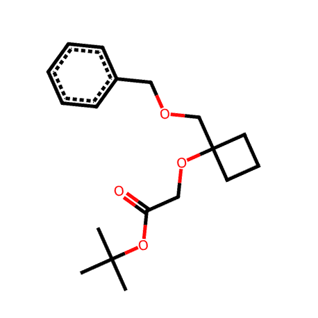 CC(C)(C)OC(=O)COC1(COCc2ccccc2)CCC1